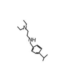 CCN(CC)CCNCc1ccc(C(C)C)cc1